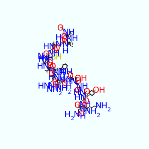 CC[C@H](C)[C@H](NC(=O)CNC(=O)[C@H](C)NC(=O)CNC(=O)[C@H](CS)NC(=O)[C@H](Cc1cnc[nH]1)NC(=O)[C@@H](NC(=O)[C@H](Cc1c[nH]c2ccccc12)NC(=O)[C@H](CCCNC(=N)N)NC(=O)[C@H](CC(N)=O)NC(=O)CNC(=O)[C@H](CO)NC(=O)CNC(=O)CNC(=O)[C@H](Cc1ccc(O)cc1)NC(=O)CNC(=O)[C@H](CC(N)=O)NC(=O)[C@@H](N)CCCCN)C(C)C)C(=O)N[C@H](C(=O)NCC=O)C(C)C